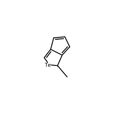 C[C]1[Te]C=C2C=CC=C12